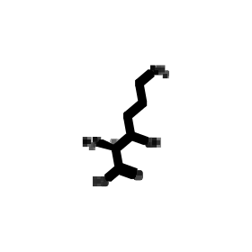 NCCCC(O)[C@H](N)C(=O)O